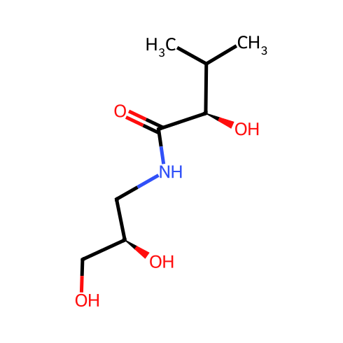 CC(C)[C@@H](O)C(=O)NC[C@@H](O)CO